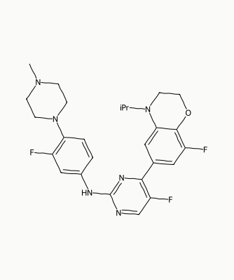 CC(C)N1CCOc2c(F)cc(-c3nc(Nc4ccc(N5CCN(C)CC5)c(F)c4)ncc3F)cc21